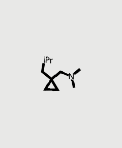 CC(C)CC1(CN(C)C)CC1